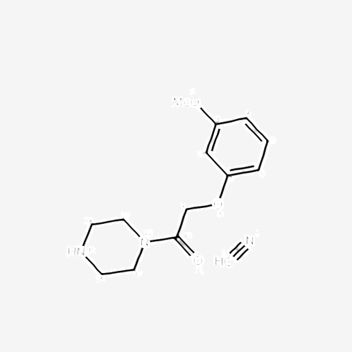 C#N.COc1cccc(OCC(=O)N2CCNCC2)c1